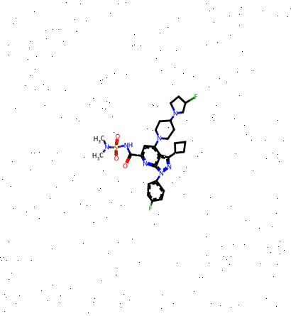 CN(C)S(=O)(=O)NC(=O)c1cc(N2CCC(N3CCC(F)C3)CC2)c2c(C3CCC3)nn(-c3ccc(F)cc3)c2n1